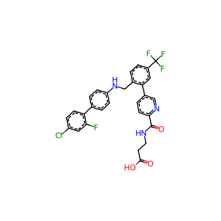 O=C(O)CCNC(=O)c1ccc(-c2cc(C(F)(F)F)ccc2CNc2ccc(-c3ccc(Cl)cc3F)cc2)cn1